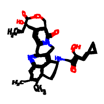 CC[C@@]1(O)C(=O)OCc2c1cc1n(c2=O)Cc2c-1nc1cc(C)c(C)c3c1c2[C@@H](NC(=O)[C@@H](O)CC1CC1)CC3